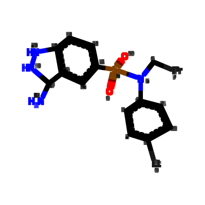 CCc1ccc(N(CC(C)C)S(=O)(=O)c2ccc3c(c2)C(N)NN3)cc1